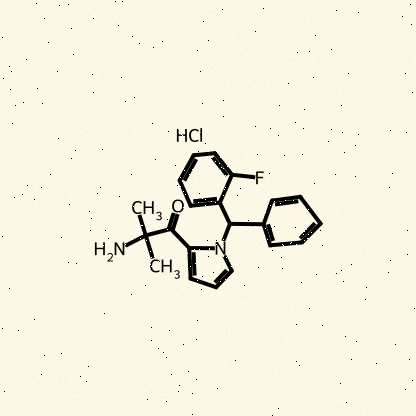 CC(C)(N)C(=O)c1cccn1C(c1ccccc1)c1ccccc1F.Cl